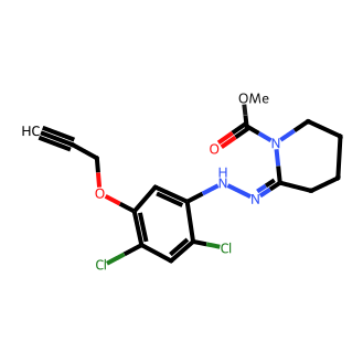 C#CCOc1cc(NN=C2CCCCN2C(=O)OC)c(Cl)cc1Cl